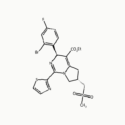 CCOC(=O)C1=C2C[C@H](CS(C)(=O)=O)CN2C(c2nccs2)=N[C@H]1c1ccc(F)cc1Br